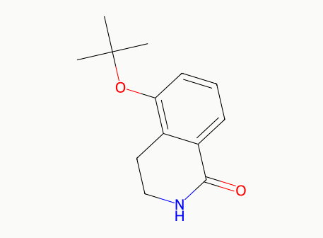 CC(C)(C)Oc1cccc2c1CCNC2=O